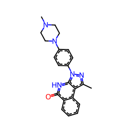 Cc1nn(-c2ccc(N3CCN(C)CC3)cc2)c2[nH]c(=O)c3ccccc3c12